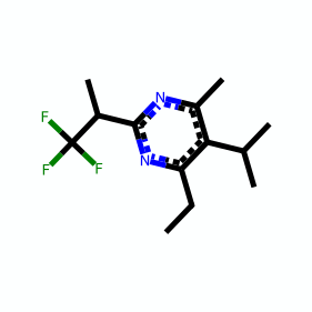 CCc1nc(C(C)C(F)(F)F)nc(C)c1C(C)C